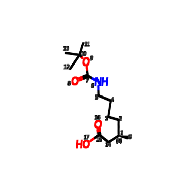 C[C@H](CCCCNC(=O)OC(C)(C)C)CC(=O)O